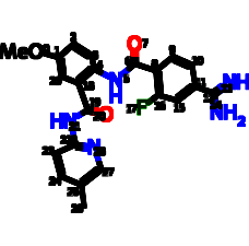 COc1ccc(NC(=O)c2ccc(C(=N)N)cc2F)c(C(=O)Nc2ccc(C)cn2)c1